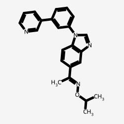 CC(=NOC(C)C)c1ccc2c(c1)ncn2-c1cccc(-c2cccnc2)c1